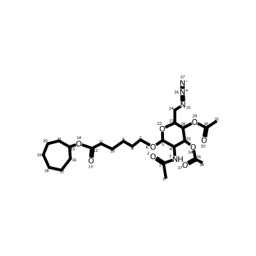 CC(=O)NC1C(OCCCCCC(=O)OC2CCCCCC2)OC(CN=[N+]=[N-])C(OC(C)=O)C1OC(C)=O